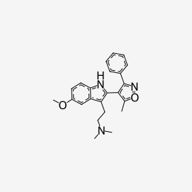 COc1ccc2[nH]c(-c3c(-c4ccccc4)noc3C)c(CCN(C)C)c2c1